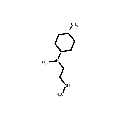 CNCCN(C)[C@H]1CC[C@H](C)CC1